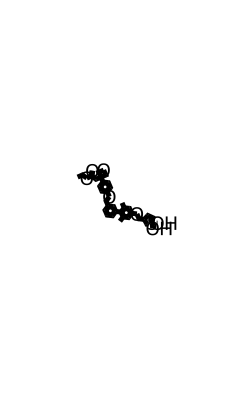 CCOC(=O)CC1(c2ccc(OCc3cccc(-c4c(C)cc(OCC5CCS(O)(O)C5)cc4C)c3)cc2)COC1